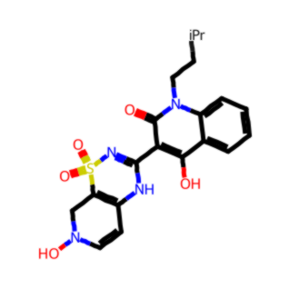 CC(C)CCn1c(=O)c(C2=NS(=O)(=O)C3=C(C=CN(O)C3)N2)c(O)c2ccccc21